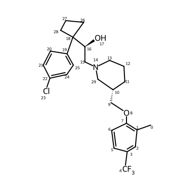 Cc1cc(C(F)(F)F)ccc1OC[C@H]1CCCN(C[C@H](O)C2(c3ccc(Cl)cc3)CCC2)C1